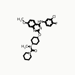 COc1ccc2c(Nc3ccc(F)c(Cl)c3)nc(O[C@H]3CC[C@@H](N(C)C(=O)N4CCCCC4)CC3)nc2c1